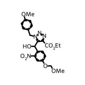 CCOC(=O)c1nnn(Cc2ccc(OC)cc2)c1C(O)c1ccc(OCOC)cc1[N+](=O)[O-]